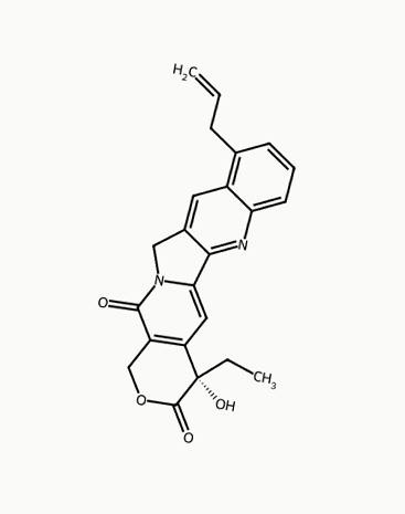 C=CCc1cccc2nc3c(cc12)Cn1c-3cc2c(c1=O)COC(=O)[C@]2(O)CC